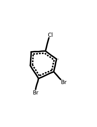 Clc1[c]c(Br)c(Br)cc1